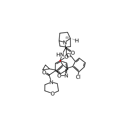 O=C(c1cccc(NC(=O)N2C3CC[C@H]2CC(OCc2c(-c4c(Cl)cccc4Cl)noc2C2CC2)C3)c1)N1CCOCC1